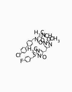 CN(C)C(=O)CN(C=O)Cc1ccc(-c2ccc(Cl)cc2)cc1.COc1ncc(Cc2cn(C)c(SCc3ccc(F)cc3)nc2=O)cn1